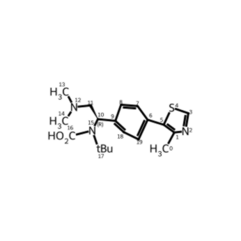 Cc1ncsc1-c1ccc([C@H](CN(C)C)N(C(=O)O)C(C)(C)C)cc1